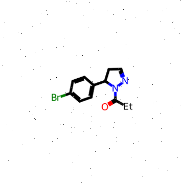 CCC(=O)N1N=CCC1c1ccc(Br)cc1